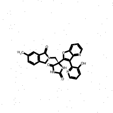 Cc1ccc2c(c1)C(=O)N(C[C@@]1(c3oc4cccnc4c3-c3ncccc3O)NC(=O)NC1=O)C2